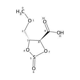 COC[C@H]1OS(=O)O[C@@H]1C(=O)O